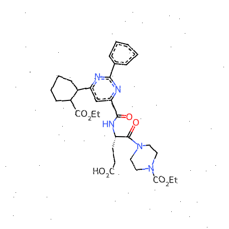 CCOC(=O)C1CCCCC1c1cc(C(=O)N[C@@H](CCC(=O)O)C(=O)N2CCN(C(=O)OCC)CC2)nc(-c2ccccc2)n1